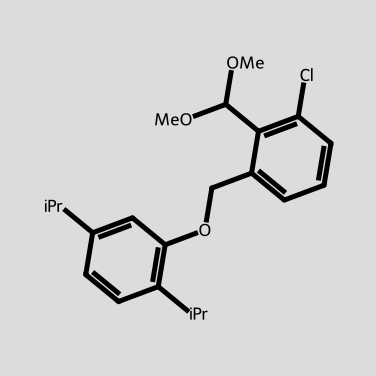 COC(OC)c1c(Cl)cccc1COc1cc(C(C)C)ccc1C(C)C